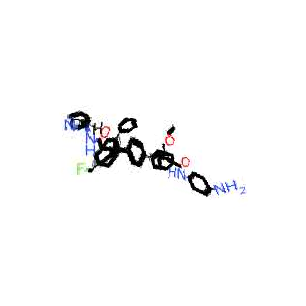 CCOC[C@]12CC3CC(C(=O)N[C@H]4CC[C@H](N)CC4)(C1)C[C@@](c1ccc(C4C5CC6(C(=O)N[C@H]7CN8CCC7CC8)C[C@@](CF)(C5)C[C@]4(c4ccccc4)C6)cc1)(C3)C2